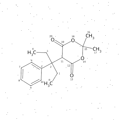 CCC(CC)(c1ccccc1)C1C(=O)OC(C)(C)OC1=O